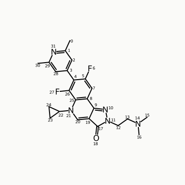 Cc1cc(-c2c(F)cc3c4nn(CCN(C)C)c(=O)c-4cn(C4CC4)c3c2F)cc(C)n1